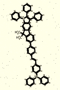 CC1(C)c2cc(-c3ccc(/C=C/c4ccc(N(c5ccccc5)c5ccccc5)cc4)cc3)ccc2-c2cc3c(-c4ccccc4)c(-c4ccccc4)n(-c4ccccc4)c3cc21